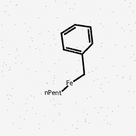 CCCC[CH2][Fe][CH2]c1ccccc1